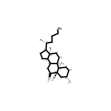 CCC(C)CCC[C@@H](C)C1CCC2C3CC(=O)[C@H]4C[C@@H](C)CC[C@]4(C)C3CC[C@@]21C